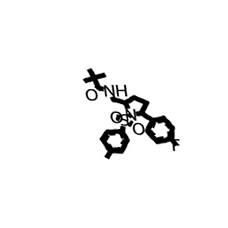 Cc1ccc(S(=O)(=O)N2C(CNC(=O)C(C)(C)C)CCC2c2ccc(F)cc2)cc1